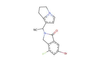 N#CC(c1ccn2c1CCC2)N1Cc2c(F)cc(Br)cc2C1=O